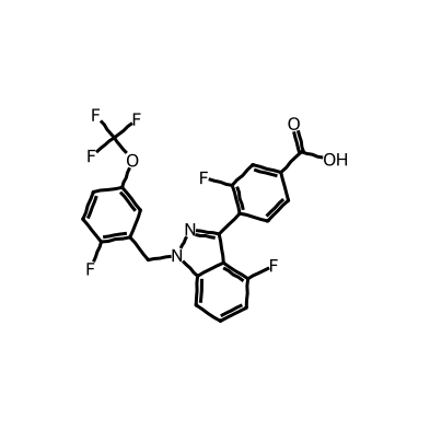 O=C(O)c1ccc(-c2nn(Cc3cc(OC(F)(F)F)ccc3F)c3cccc(F)c23)c(F)c1